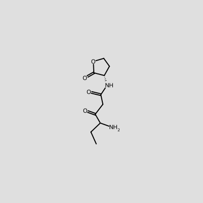 CCC(N)C(=O)CC(=O)N[C@H]1CCOC1=O